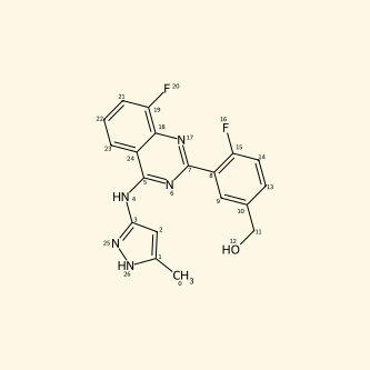 Cc1cc(Nc2nc(-c3cc(CO)ccc3F)nc3c(F)cccc23)n[nH]1